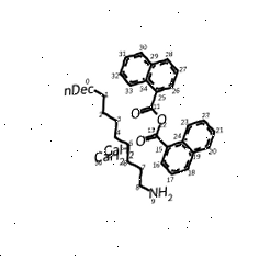 CCCCCCCCCCCCCCCCCCN.O=C(OC(=O)c1cccc2ccccc12)c1cccc2ccccc12.[CaH2].[CaH2]